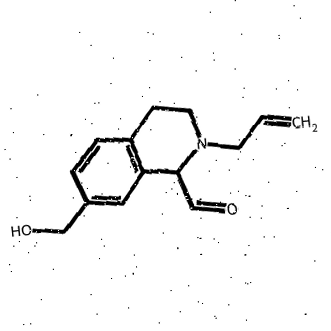 C=CCN1CCc2ccc(CO)cc2C1C=O